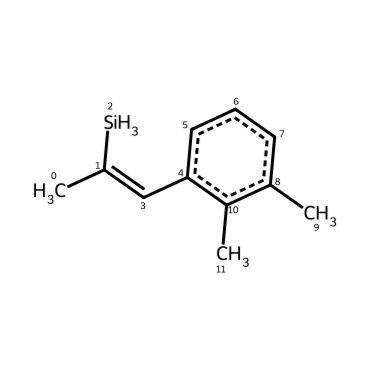 CC([SiH3])=Cc1cccc(C)c1C